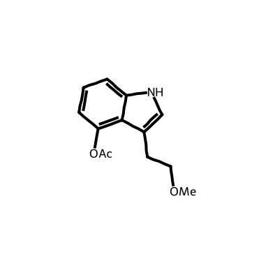 COCCc1c[nH]c2cccc(OC(C)=O)c12